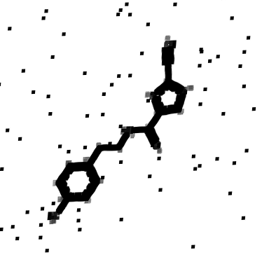 C#Cc1nc(C(=O)NCCc2ccc(C#N)cc2)cs1